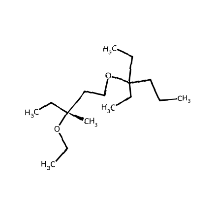 CCCC(CC)(CC)OCC[C@@](C)(CC)OCC